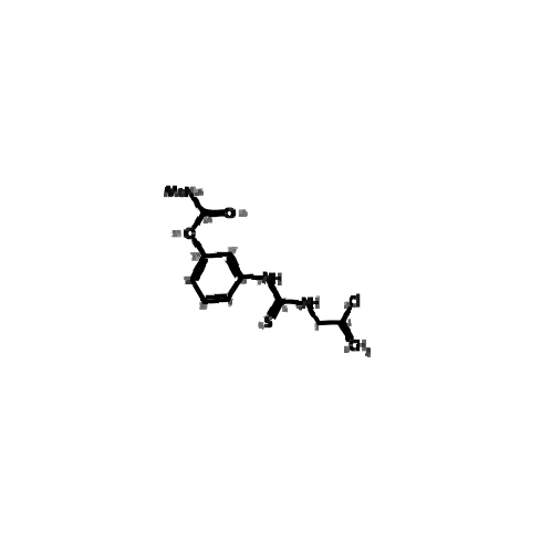 C=C(Cl)CNC(=S)Nc1cccc(OC(=O)NC)c1